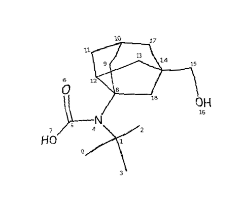 CC(C)(C)N(C(=O)O)C12CC3CC1CC(CO)(C3)C2